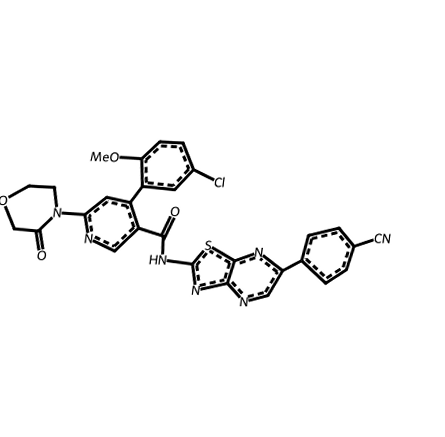 COc1ccc(Cl)cc1-c1cc(N2CCOCC2=O)ncc1C(=O)Nc1nc2ncc(-c3ccc(C#N)cc3)nc2s1